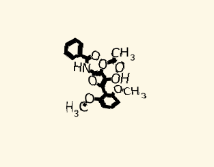 COc1cccc(OC)c1-c1oc(NC(=O)c2ccccc2)c(OC(C)=O)c1O